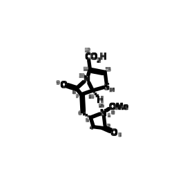 CON1C(=O)C[C@@H]1/C=C1/C(=O)N2C(C(=O)O)=CS[C@@H]12